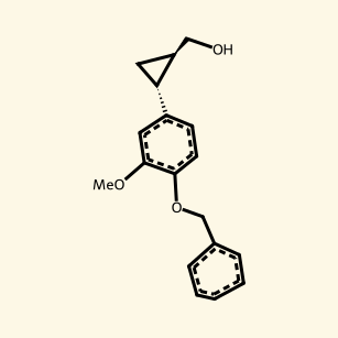 COc1cc([C@@H]2C[C@H]2CO)ccc1OCc1ccccc1